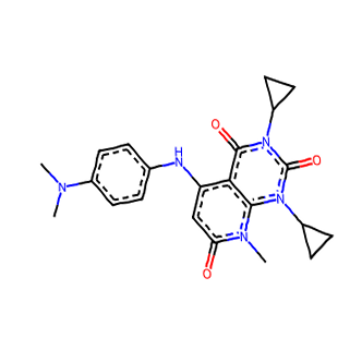 CN(C)c1ccc(Nc2cc(=O)n(C)c3c2c(=O)n(C2CC2)c(=O)n3C2CC2)cc1